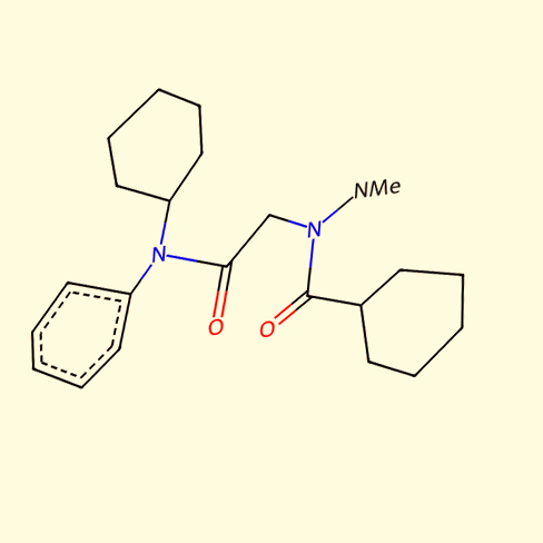 CNN(CC(=O)N(c1ccccc1)C1CCCCC1)C(=O)C1CCCCC1